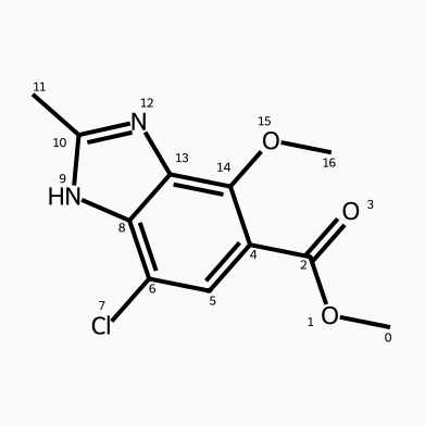 COC(=O)c1cc(Cl)c2[nH]c(C)nc2c1OC